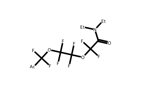 CCN(CC)C(=O)C(F)(F)OC(F)(F)C(F)(F)OC(F)(F)C(C)=O